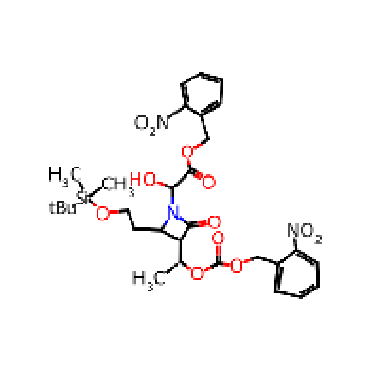 C[C@H](OC(=O)OCc1ccccc1[N+](=O)[O-])C1C(=O)N(C(O)C(=O)OCc2ccccc2[N+](=O)[O-])C1CCO[Si](C)(C)C(C)(C)C